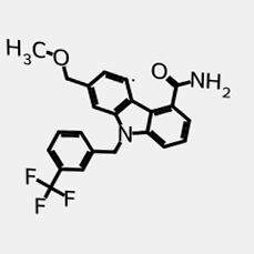 COCc1c[c]c2c3c(C(N)=O)cccc3n(Cc3cccc(C(F)(F)F)c3)c2c1